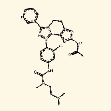 CC(=O)Nc1nc2c(s1)-c1c(c(-c3cccnc3)nn1-c1ccc(NC(=O)N(C)CCN(C)C)cc1Cl)CC2